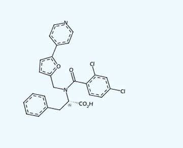 O=C(O)[C@H](Cc1ccccc1)N(Cc1ccc(-c2ccncc2)o1)C(=O)c1ccc(Cl)cc1Cl